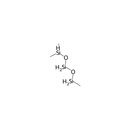 C[SiH2]O[SiH2]O[SiH](C)C